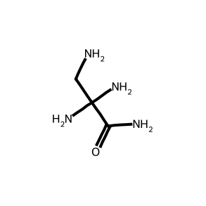 NCC(N)(N)C(N)=O